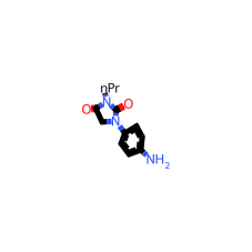 CCCN1C(=O)CN(c2ccc(N)cc2)C1=O